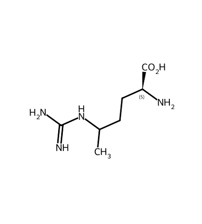 CC(CC[C@H](N)C(=O)O)NC(=N)N